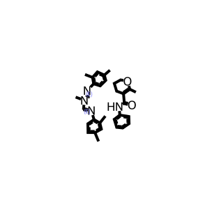 CC1=C(C(=O)Nc2ccccc2)CCCO1.Cc1ccc(/N=C/N(C)/C=N/c2ccc(C)cc2C)c(C)c1